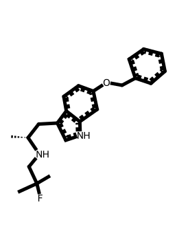 C[C@H](Cc1c[nH]c2cc(OCc3ccccc3)ccc12)NCC(C)(C)F